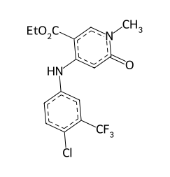 CCOC(=O)c1cn(C)c(=O)cc1Nc1ccc(Cl)c(C(F)(F)F)c1